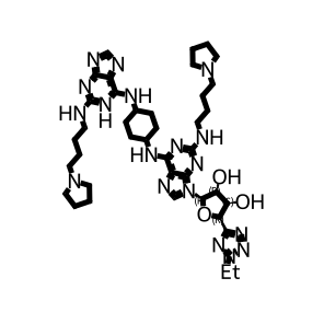 CCn1nnc([C@H]2O[C@@H](n3cnc4c(NC5CCC(Nc6[nH]c(NCCCCN7CCCC7)nc7ncnc6-7)CC5)nc(NCCCCN5CCCC5)nc43)[C@H](O)[C@@H]2O)n1